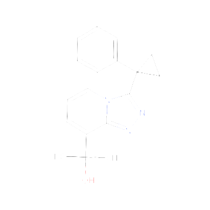 CC(C)(O)c1cccn2c(C3(c4ccccc4)CC3)nnc12